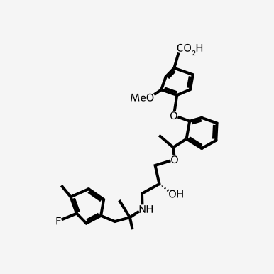 COc1cc(C(=O)O)ccc1Oc1ccccc1C(C)OC[C@H](O)CNC(C)(C)Cc1ccc(C)c(F)c1